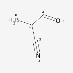 BC(C#N)C=O